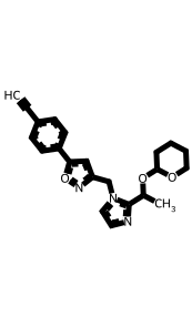 C#Cc1ccc(-c2cc(Cn3ccnc3C(C)OC3CCCCO3)no2)cc1